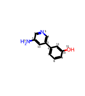 Nc1cncc(-c2cccc(O)c2)c1